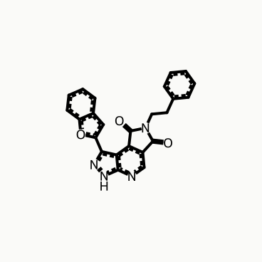 O=C1c2cnc3[nH]nc(-c4cc5ccccc5o4)c3c2C(=O)N1CCc1ccccc1